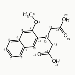 COc1cc2ccccc2cc1N(CC(=O)O)CC(=O)O